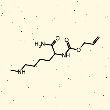 C=CCOC(=O)NC(CCCCNC)C(N)=O